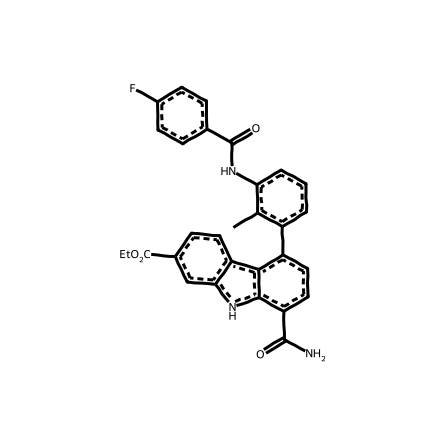 CCOC(=O)c1ccc2c(c1)[nH]c1c(C(N)=O)ccc(-c3cccc(NC(=O)c4ccc(F)cc4)c3C)c12